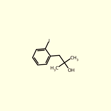 CC(C)(O)Cc1ccccc1I